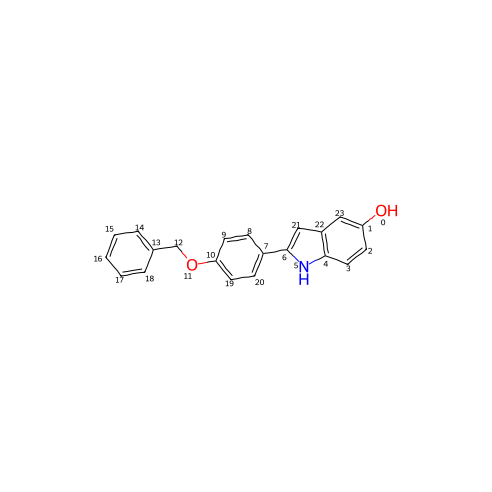 Oc1ccc2[nH]c(-c3ccc(OCc4ccccc4)cc3)cc2c1